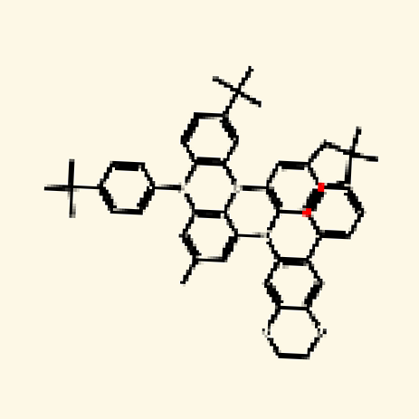 Cc1cc2c3c(c1)N(c1cc4c(cc1-c1ccccc1)OCCO4)c1cc4c(cc1B3c1cc(C(C)(C)C)ccc1N2c1ccc(C(C)(C)C)cc1)CC(C)(C)C4